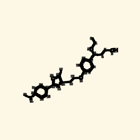 CCOC(CCO)c1ccc(OCCc2nc(-c3ccc(SC)cc3)oc2C)cc1